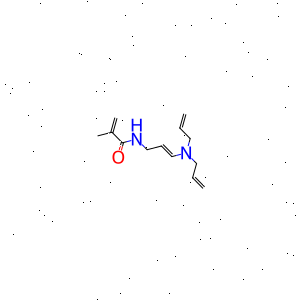 C=CCN(C=CCNC(=O)C(=C)C)CC=C